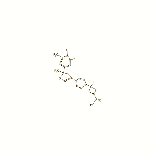 CC(C)C(=O)N1CC(F)(c2ccc(C3=NOC(c4cc(F)c(F)c(C(F)(F)F)c4)(C(F)(F)F)C3)cn2)C1